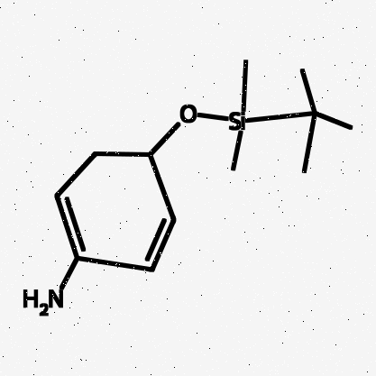 CC(C)(C)[Si](C)(C)OC1C=CC(N)=CC1